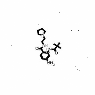 CC(C)(C)C(=O)Nc1cc(N)ccc1C(=O)NCCN1CCCC1